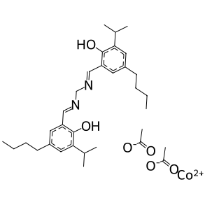 CC(=O)[O-].CC(=O)[O-].CCCCc1cc(C=NCN=Cc2cc(CCCC)cc(C(C)C)c2O)c(O)c(C(C)C)c1.[Co+2]